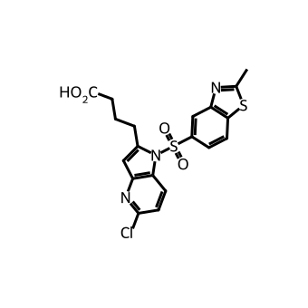 Cc1nc2cc(S(=O)(=O)n3c(CCCC(=O)O)cc4nc(Cl)ccc43)ccc2s1